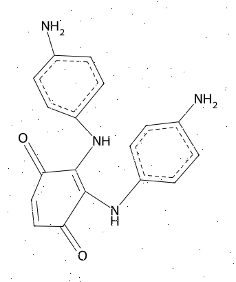 Nc1ccc(NC2=C(Nc3ccc(N)cc3)C(=O)C=CC2=O)cc1